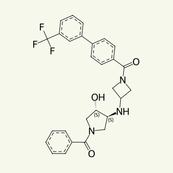 O=C(c1ccc(-c2cccc(C(F)(F)F)c2)cc1)N1CC(N[C@H]2CN(C(=O)c3ccccc3)C[C@@H]2O)C1